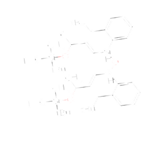 CC(C=C[SiH](O[SiH](C=CC(C)O[Si](C)(C)C(C)(C)C)c1ccccc1CC(C)(C)C)c1ccccc1CC(C)(C)C)O[Si](C)(C)C(C)(C)C